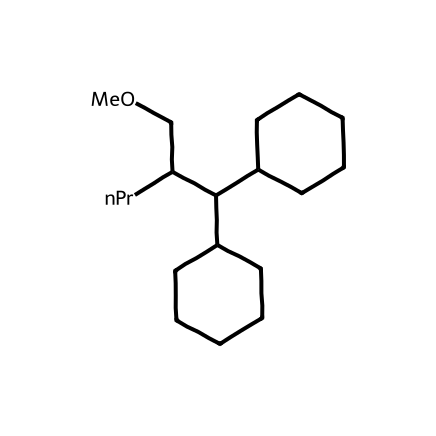 CCCC(COC)C(C1CCCCC1)C1CCCCC1